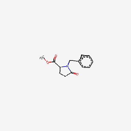 COC(=O)C1CCC(=O)N1Cc1ccccc1